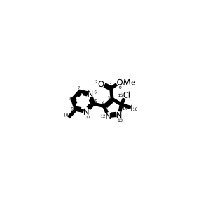 COC(=O)C1=C(c2nccc(C)n2)N=NC1(Cl)I